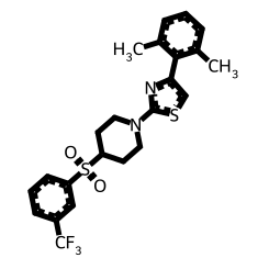 Cc1cccc(C)c1-c1csc(N2CCC(S(=O)(=O)c3cccc(C(F)(F)F)c3)CC2)n1